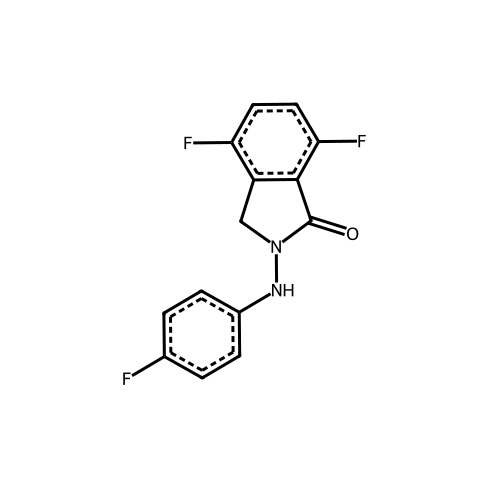 O=C1c2c(F)ccc(F)c2CN1Nc1ccc(F)cc1